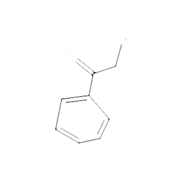 O=C(CO)c1[c]cccc1